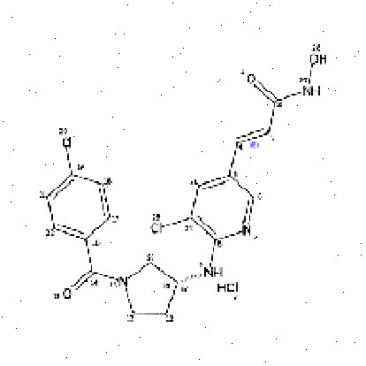 Cl.O=C(/C=C/c1cnc(N[C@@H]2CCN(C(=O)c3ccc(Cl)cc3)C2)c(Cl)c1)NO